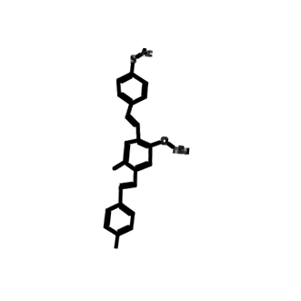 CCCCOc1cc(C=Cc2ccc(C)cc2)c(C)cc1C=Cc1ccc(SC(C)=O)cc1